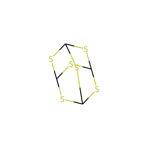 S1C2SC3SC1SC(S2)S3